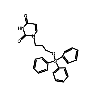 O=c1ccn(CCCO[Si](c2ccccc2)(c2ccccc2)c2ccccc2)c(=O)[nH]1